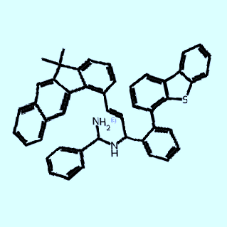 CC1(C)c2cc3ccccc3cc2-c2c(/C=C/C(NC(N)c3ccccc3)c3ccccc3-c3cccc4c3sc3ccccc34)cccc21